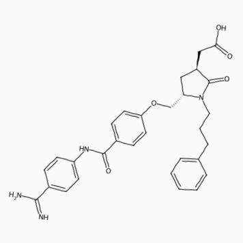 N=C(N)c1ccc(NC(=O)c2ccc(OC[C@@H]3C[C@@H](CC(=O)O)C(=O)N3CCCc3ccccc3)cc2)cc1